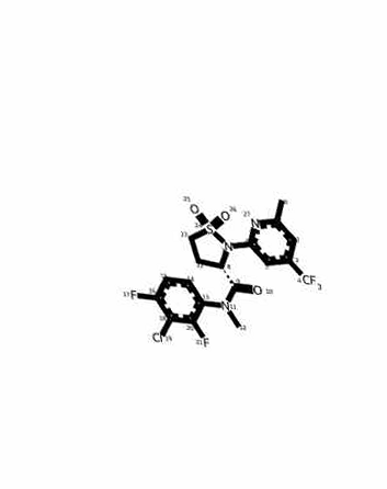 Cc1cc(C(F)(F)F)cc(N2[C@H](C(=O)N(C)c3ccc(F)c(Cl)c3F)CCS2(=O)=O)n1